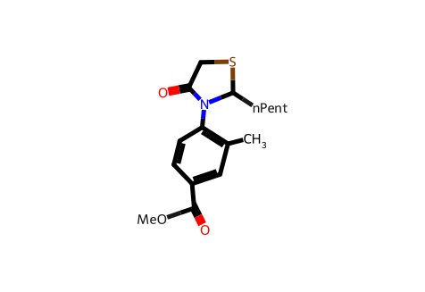 CCCCCC1SCC(=O)N1c1ccc(C(=O)OC)cc1C